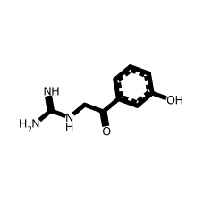 N=C(N)NCC(=O)c1cccc(O)c1